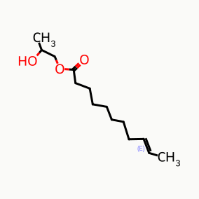 C/C=C/CCCCCCCC(=O)OCC(C)O